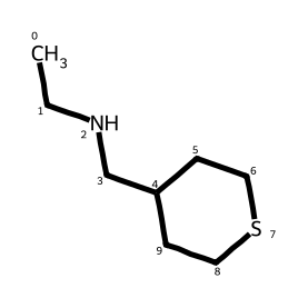 CCNCC1CCSCC1